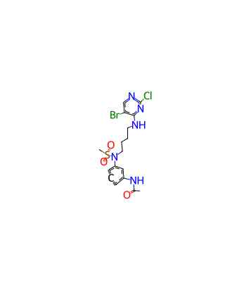 CC(=O)Nc1cccc(N(CCCCNc2nc(Cl)ncc2Br)S(C)(=O)=O)c1